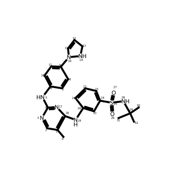 Cc1cnc(Nc2ccc(N3C=CCN3)cc2)nc1Nc1cccc(S(=O)(=O)NC(C)(C)C)c1